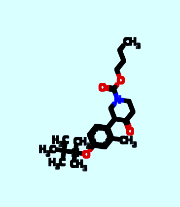 CCCCOC(=O)N1CCC(=O)C(c2ccc(O[Si](C)(C)C(C)(C)C)cc2C)C1